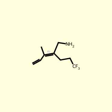 C=C/C(C)=C(/CN)CCC(F)(F)F